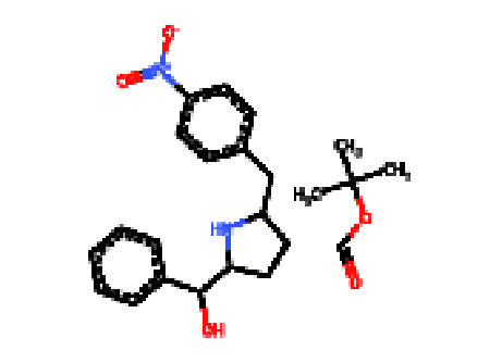 CC(C)(C)OC=O.O=[N+]([O-])c1ccc(CC2CCC(C(O)c3ccccc3)N2)cc1